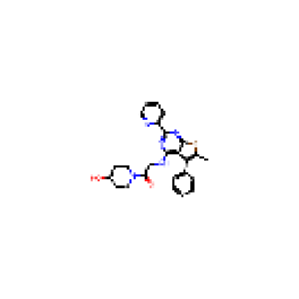 Cc1sc2nc(-c3ccccn3)nc(NCC(=O)N3CCC(O)CC3)c2c1-c1ccccc1